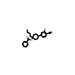 CCCCC1(OC(=O)c2ccccc2)CCC(c2ccc(C#N)c(F)c2)CC1